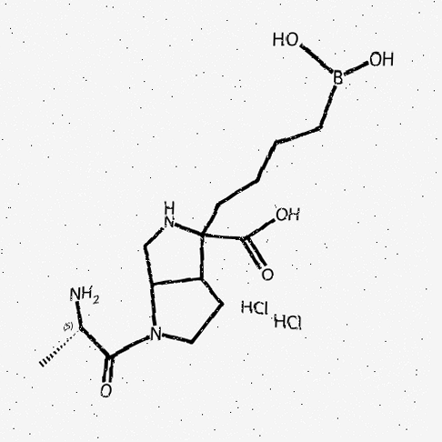 C[C@H](N)C(=O)N1CCC2C1CNC2(CCCCB(O)O)C(=O)O.Cl.Cl